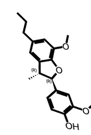 CCCc1cc(OC)c2c(c1)[C@@H](C)[C@H](c1ccc(O)c(OC)c1)O2